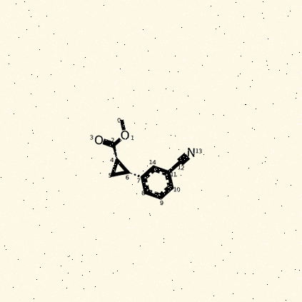 COC(=O)[C@@H]1C[C@H]1c1cccc(C#N)c1